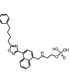 O=P(O)(O)OCCNCc1ccc(-c2noc(CCCCc3ccccc3)n2)c2ccccc12